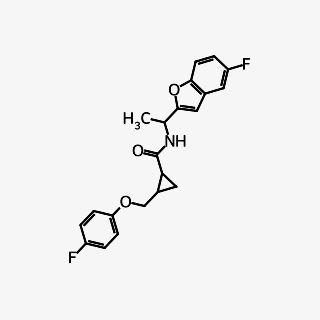 CC(NC(=O)C1CC1COc1ccc(F)cc1)c1cc2cc(F)ccc2o1